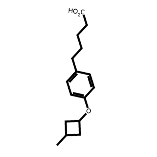 CC1CC(Oc2ccc(CCCCC(=O)O)cc2)C1